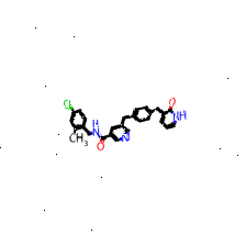 Cc1cc(Cl)ccc1CNC(=O)c1cncc(Cc2ccc(Cc3ccc[nH]c3=O)cc2)c1